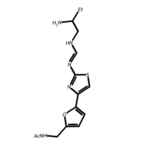 CCC(N)CNC=Nc1nc(-c2ccc(CNC(C)=O)o2)cs1